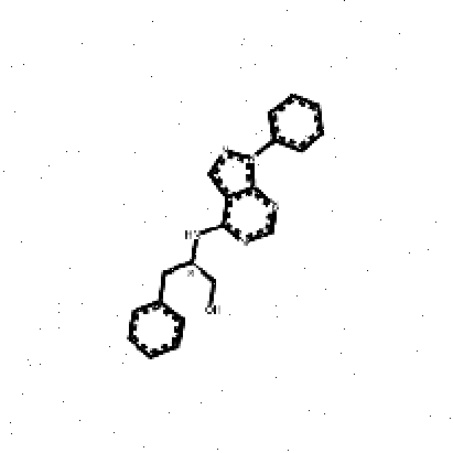 OC[C@@H](Cc1ccccc1)Nc1ncnc2c1cnn2-c1ccccc1